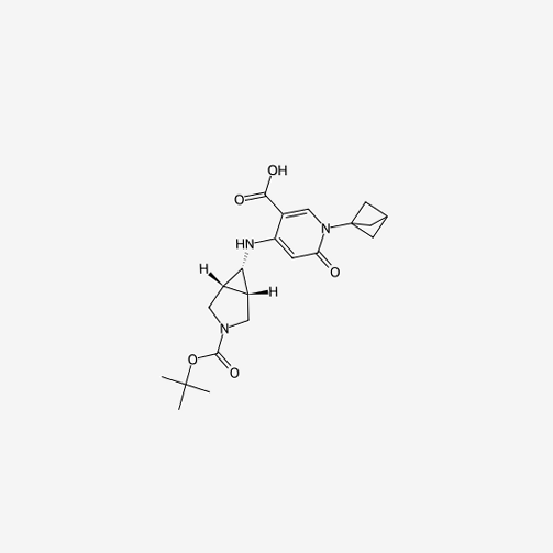 CC(C)(C)OC(=O)N1C[C@@H]2[C@H](C1)[C@@H]2Nc1cc(=O)n(C23CC(C2)C3)cc1C(=O)O